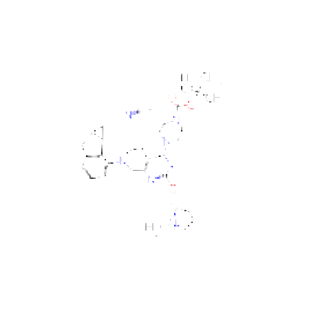 CN1CCC[C@H]1COc1nc2c(c(N3CCN(C(=O)OC(C)(C)C)[C@@H](CC#N)C3)n1)CCN(c1cccc3c1C1CC1C3)C2